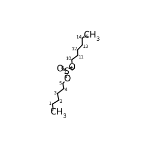 CCCCCCOS(=O)OCCCCCC